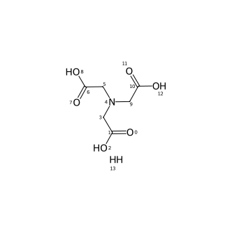 O=C(O)CN(CC(=O)O)CC(=O)O.[HH]